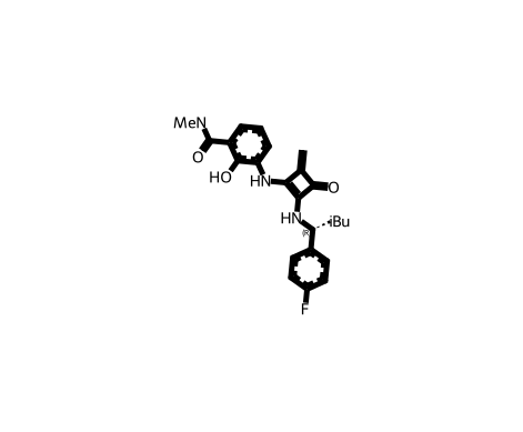 C=C1C(=O)C(N[C@@H](c2ccc(F)cc2)C(C)CC)=C1Nc1cccc(C(=O)NC)c1O